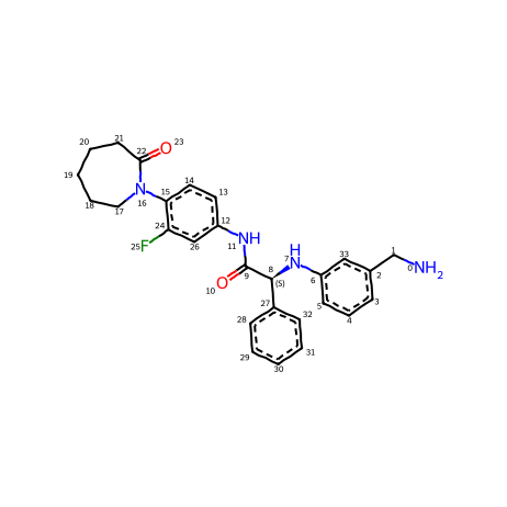 NCc1cccc(N[C@H](C(=O)Nc2ccc(N3CCCCCC3=O)c(F)c2)c2ccccc2)c1